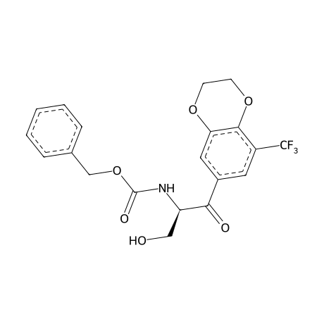 O=C(N[C@H](CO)C(=O)c1cc2c(c(C(F)(F)F)c1)OCCO2)OCc1ccccc1